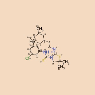 CCC(CC/N=C1/SC(C)(C)CN1C(=S)Nc1cccc(Cl)c1)CC(C)C1CC1